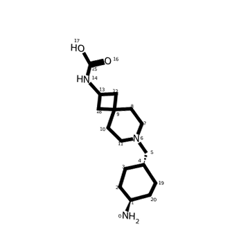 N[C@H]1CC[C@H](CN2CCC3(CC2)CC(NC(=O)O)C3)CC1